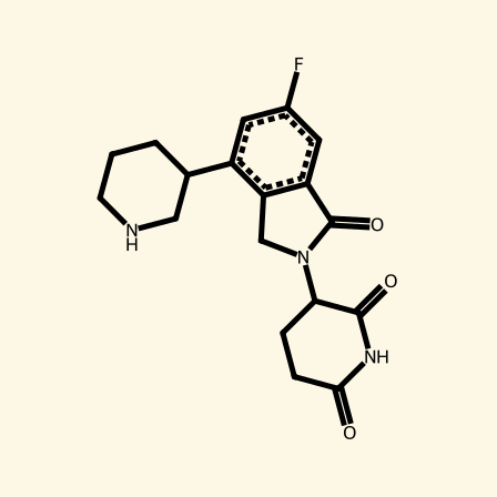 O=C1CCC(N2Cc3c(cc(F)cc3C3CCCNC3)C2=O)C(=O)N1